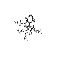 CC(C)=C1OC(c2nccnc2C(C)N)=NN(C)C1=O